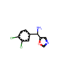 NC(c1ccc(Cl)c(Cl)c1)c1cnco1